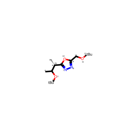 CC(OC(C)(C)C)[C@H](C)c1nnc(COC(C)(C)C)o1